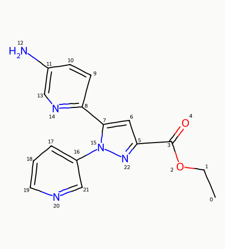 CCOC(=O)c1cc(-c2ccc(N)cn2)n(-c2cccnc2)n1